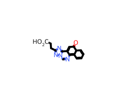 O=C(O)CCc1nc2c3c(ncn2n1)=C1C=CC=CC1C(=O)C=3